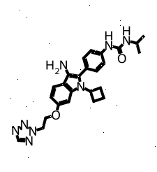 CC(C)NC(=O)Nc1ccc(-c2c(N)c3ccc(OCCn4ncnn4)cc3n2C2CCC2)cc1